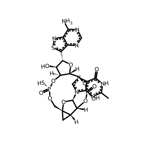 Cc1nc2c(ncn2[C@@H]2O[C@]34CO[P@](=O)(S)O[C@H]5[C@@H](O)[C@H](c6snc7c(N)ncnc67)O[C@@H]5COP(=O)(O)O[C@@H]2[C@@H]3C4)c(=O)[nH]1